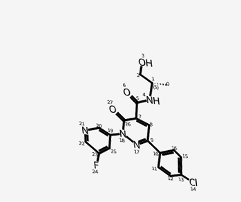 C[C@@H](CO)NC(=O)c1cc(-c2ccc(Cl)cc2)nn(-c2cncc(F)c2)c1=O